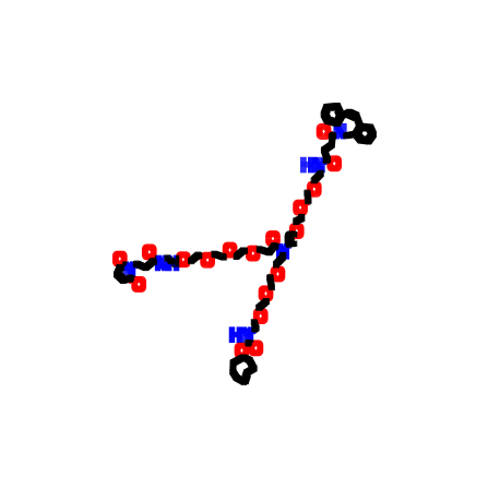 O=C(CCC(=O)N1Cc2ccccc2C#Cc2ccccc21)NCCOCCOCCOCCN(CCOCCOCCOCCNC(=O)O[C@H]1CC/C=C/CCC1)C(=O)CCOCCOCCOCCOCCNC(=O)CCN1C(=O)C=CC1=O